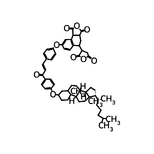 CC(C)CCC[C@@H](C)[C@H]1CC[C@H]2[C@@H]3CCC4CC(Oc5ccc(C(=O)C=Cc6ccc(Oc7ccc8c(c7)C7C(=O)OC(=O)C7CC8C7CC(=O)OC7=O)cc6)cc5)CC[C@]4(C)[C@H]3CC[C@]12C